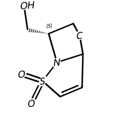 O=S1(=O)C=CC2CC[C@@H](CO)N21